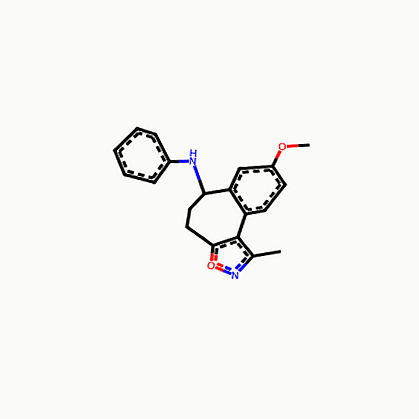 COc1ccc2c(c1)C(Nc1ccccc1)CCc1onc(C)c1-2